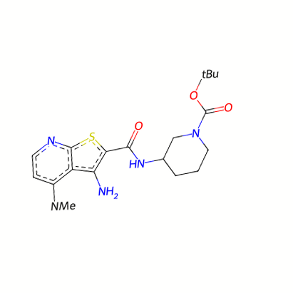 CNc1ccnc2sc(C(=O)NC3CCCN(C(=O)OC(C)(C)C)C3)c(N)c12